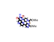 COCC(=S)N1CCC(n2c(=O)[nH]c(=O)c3cnc4ccc(-c5cnc(OC)nc5)nc4c32)CC1